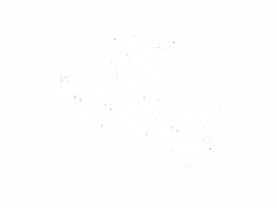 CC(C)CN1CCN(c2ccc(N3C[C@@H](C)O[C@@H](C)C3)cc2C2CCC(C)(C)CC2)CC1.Cl